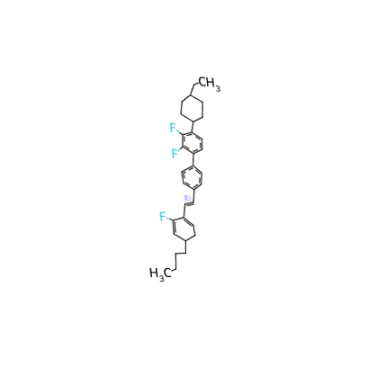 CCCCC1C=C(F)C(/C=C/c2ccc(-c3ccc(C4CCC(CC)CC4)c(F)c3F)cc2)=CC1